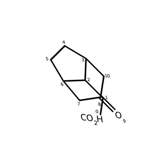 O=C(O)CC1C2CCC1CC(=O)C2